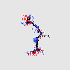 CCCCCC(=O)N(CCCn1cc(CCCC(=O)NCC2OC(OC3C(N)CC(N)C(O)C3O)C(N)C(O)C2O)nn1)CC(=O)N(CCC)CC(=O)N(CCCn1cc(CCCC(=O)NCC2OC(OC3C(N)CC(N)C(O)C3O)C(N)C(O)C2O)nn1)CC(N)=O